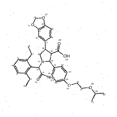 CCc1cccc(CC)c1C(C(N)=O)N1CC(c2ccc3c(c2)OCO3)C(C(=O)O)C1c1ccc(OCCOC(C)C)cc1